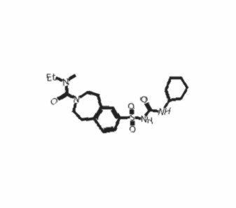 CCN(C)C(=O)N1CCc2ccc(S(=O)(=O)NC(=O)NC3CCCCC3)cc2CC1